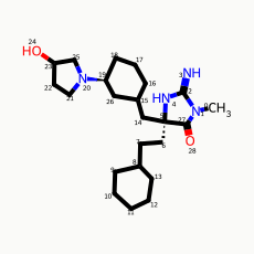 CN1C(=N)N[C@](CCC2CCCCC2)(CC2CCC[C@H](N3CCC(O)C3)C2)C1=O